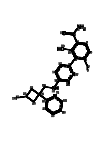 NC(=O)c1ccc(F)c(-c2ccc(NCC3(c4ccccn4)CC(F)C3)nn2)c1O